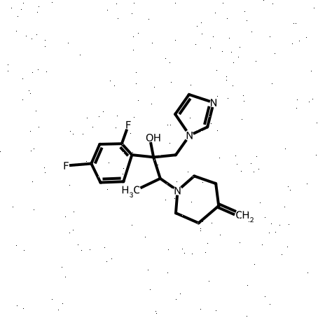 C=C1CCN(C(C)C(O)(Cn2ccnc2)c2ccc(F)cc2F)CC1